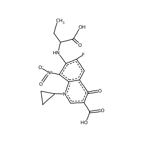 CCC(Nc1c(F)cc2c(=O)c(C(=O)O)cn(C3CC3)c2c1[N+](=O)[O-])C(=O)O